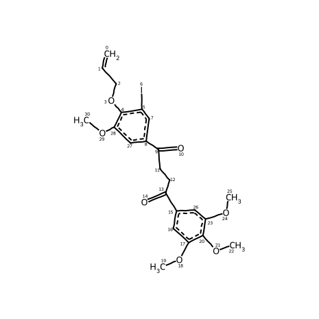 C=CCOc1c(I)cc(C(=O)CCC(=O)c2cc(OC)c(OC)c(OC)c2)cc1OC